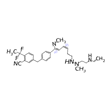 C=CNCCN(C)NCC/C=C\C=C(/N=C)c1ccc(Cc2ccc(C(C)(F)F)c(C#N)c2)cc1